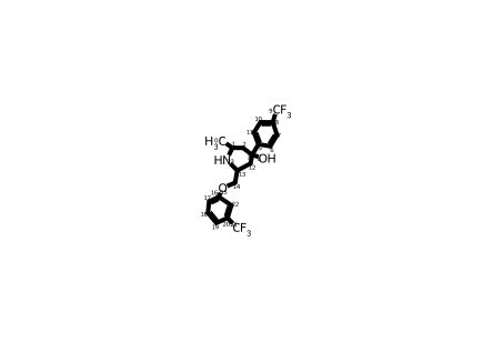 CC1CC(O)(c2ccc(C(F)(F)F)cc2)CC(COc2cccc(C(F)(F)F)c2)N1